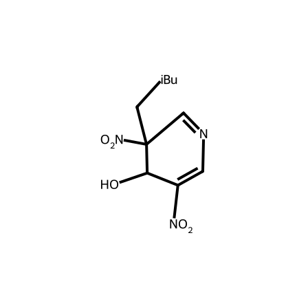 CCC(C)CC1([N+](=O)[O-])C=NC=C([N+](=O)[O-])C1O